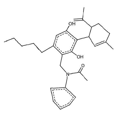 C=C(C)C1CCC(C)=CC1c1c(O)cc(CCCCC)c(CN(C(C)=O)c2ccccc2)c1O